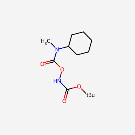 CN(C(=O)ONC(=O)OC(C)(C)C)C1CCCCC1